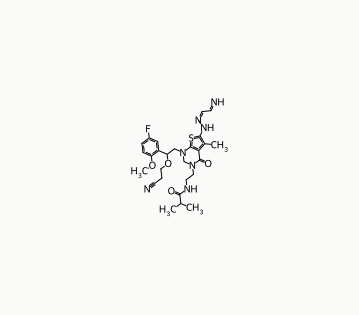 COc1ccc(F)cc1C(CN1CN(CCNC(=O)C(C)C)C(=O)c2c1sc(N/N=C\C=N)c2C)OCCC#N